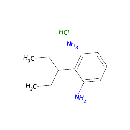 CCC(CC)c1ccccc1N.Cl.N